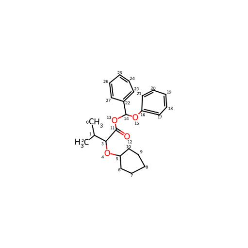 CC(C)C(OC1CCCCC1)C(=O)OC(Oc1ccccc1)c1ccccc1